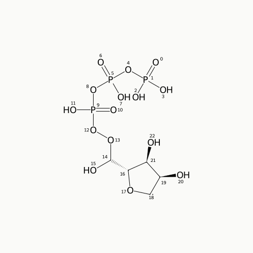 O=P(O)(O)OP(=O)(O)OP(=O)(O)OOC(O)[C@H]1O[CH][C@H](O)[C@@H]1O